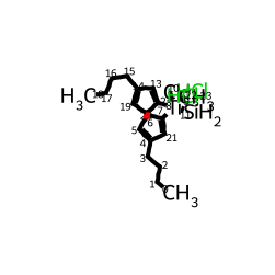 CCCCC1=CC[C]([Ti]([CH3])([CH3])(=[SiH2])[C]2=CC(CCCC)=CC2)=C1.Cl.Cl